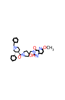 COc1ccc2ncn(CC3(O)CCN(C(=O)[C@@H]4CCN(Cc5ccccc5)C[C@H]4c4ccccc4)CC3)c(=O)c2n1